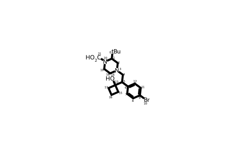 CC(C)(C)C1CN(CC(c2ccc(Br)cc2)C2(O)CCC2)CCN1C(=O)O